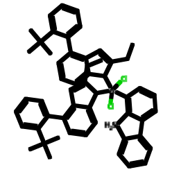 CCC1=Cc2c(-c3ccccc3C(C)(C)C)cccc2[CH]1[Zr]([Cl])([Cl])([c]1cccc2c1[SiH2]c1ccccc1-2)[CH]1C(CC)=Cc2c(-c3ccccc3C(C)(C)C)cccc21